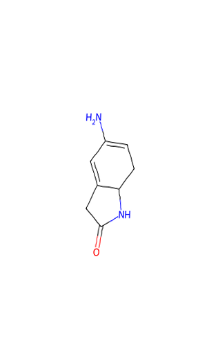 NC1=CCC2NC(=O)CC2=C1